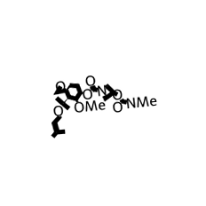 CNC(=O)OC1CN(C(=O)O[C@@H]2CC[C@]3(CO3)[C@@H](C(C)(C)OCC=C(C)C)[C@@H]2OC)C1